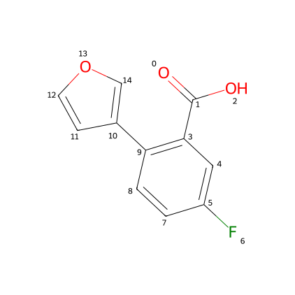 O=C(O)c1cc(F)ccc1-c1ccoc1